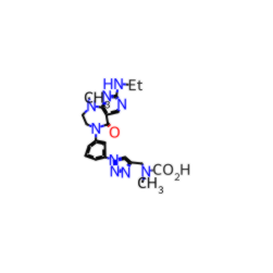 CCNc1ncc2c(n1)N(C)CCN(c1cccc(-n3cc(CN(C)C(=O)O)nn3)c1)C2=O